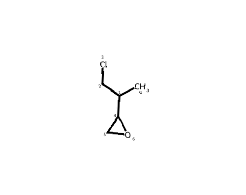 CC(CCl)C1CO1